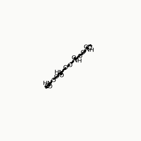 CC(C)(C)OC(=O)NCCOCCOCCC(=O)NCCCOCCOCCCNC(=O)CCOCCOCCNC(=O)OC(C)(C)C